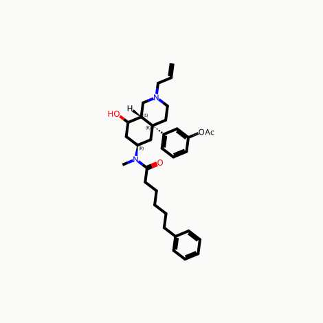 C=CCN1CC[C@@]2(c3cccc(OC(C)=O)c3)C[C@@H](N(C)C(=O)CCCCCc3ccccc3)CC(O)[C@@H]2C1